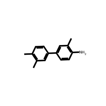 Cc1ccc(-c2ccc(N)c(C)c2)cc1C